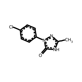 Cc1nn(-c2ccc(Cl)cc2)c(=O)[nH]1